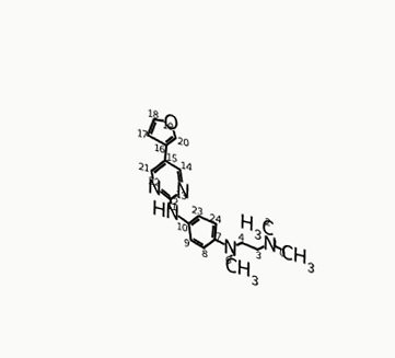 CN(C)CCN(C)c1ccc(Nc2ncc(-c3ccoc3)cn2)cc1